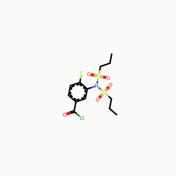 CCCS(=O)(=O)N(c1cc(C(=O)Cl)ccc1F)S(=O)(=O)CCC